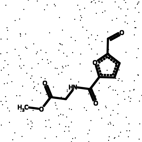 COC(=O)CNC(=O)c1ccc(C=O)o1